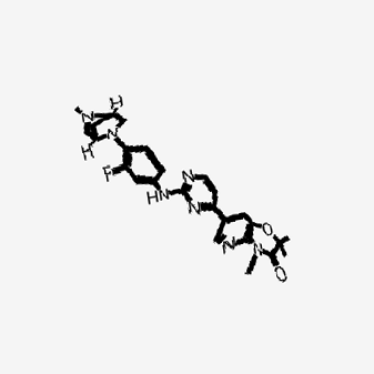 CN1C(=O)C(C)(C)Oc2cc(-c3ccnc(Nc4ccc(N5C[C@@H]6C[C@H]5CN6C)c(F)c4)n3)cnc21